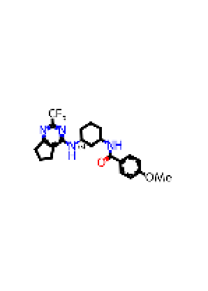 COc1ccc(C(=O)NC2CCC[C@H](Nc3nc(C(F)(F)F)nc4c3CCC4)C2)cc1